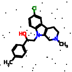 Cc1ccc(C(O)Cn2c3c(c4cc(Cl)ccc42)CCN(C)C3)cc1